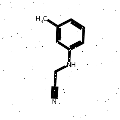 Cc1cccc(NCC#N)c1